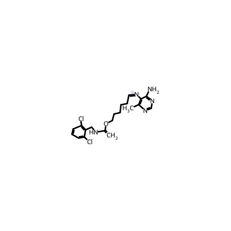 C=C(NCc1c(Cl)cccc1Cl)OCCCCC/C=N\c1c(C)ncnc1N